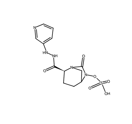 O=C(NNc1cccnc1)[C@@H]1CCC2CN1C(=O)N2OS(=O)(=O)O